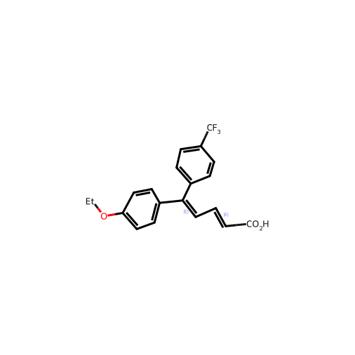 CCOc1ccc(/C(=C/C=C/C(=O)O)c2ccc(C(F)(F)F)cc2)cc1